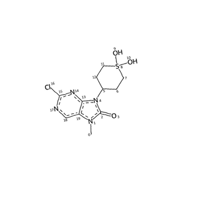 Cn1c(=O)n(C2CCS(O)(O)CC2)c2nc(Cl)ncc21